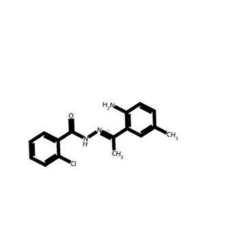 C/C(=N\NC(=O)c1ccccc1Cl)c1cc(C)ccc1N